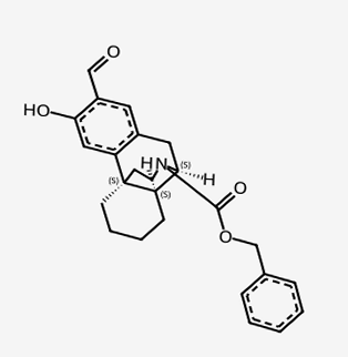 O=Cc1cc2c(cc1O)[C@]13CCCC[C@@H]1[C@H](C2)N(C(=O)OCc1ccccc1)CC3